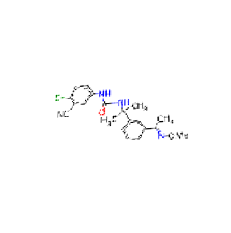 CO/N=C(\C)c1cccc(C(C)(C)NC(=O)Nc2ccc(Cl)c(C#N)c2)c1